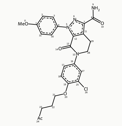 COc1ccc(-n2nc(C(N)=O)c3c2C(=O)N(c2ccc(OCCCC(C)=O)c(Cl)c2)CC3)cc1